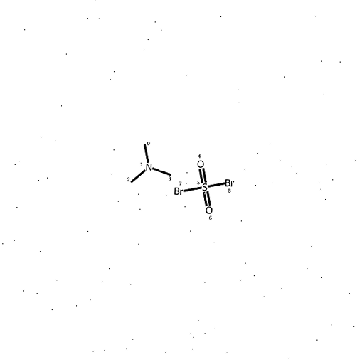 CN(C)C.O=S(=O)(Br)Br